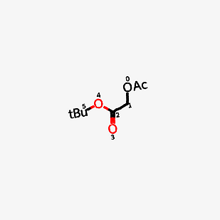 CC(=O)OCC(=O)OC(C)(C)C